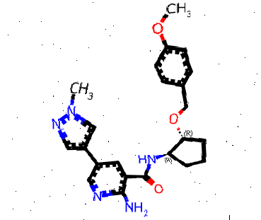 COc1ccc(CO[C@@H]2CCC[C@H]2NC(=O)c2cc(-c3cnn(C)c3)cnc2N)cc1